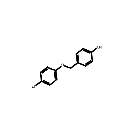 CCc1ccc(OCc2ccc(C#N)cc2)cc1